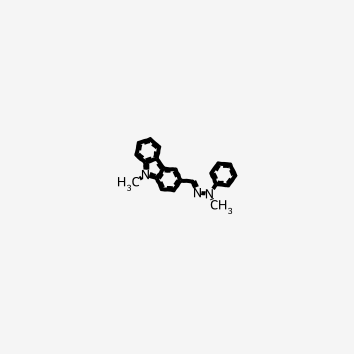 CN(N=Cc1ccc2c(c1)c1ccccc1n2C)c1ccccc1